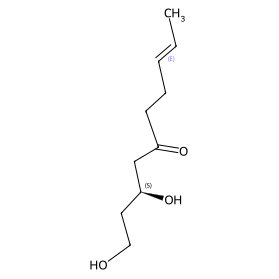 C/C=C/CCC(=O)C[C@@H](O)CCO